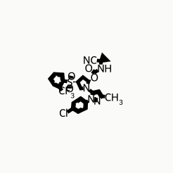 Cc1cc(N2C[C@H](S(=O)(=O)c3ccccc3C(F)(F)F)C[C@@H]2OC(=O)NC2(C#N)CC2)n(-c2ccc(Cl)cc2)n1